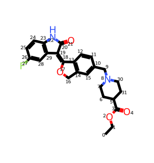 CCOC(=O)C1CCN(Cc2ccc3c(c2)CO/C3=C2/C(=O)Nc3ccc(F)cc32)CC1